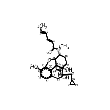 CC=CC=CC(=O)N(C)C1CC[C@@]2(O)[C@H]3Cc4ccc(O)c5c4[C@@]2(CCN3CC2CC2)C1O5